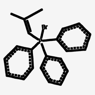 CC(C)=CP(Br)(c1ccccc1)(c1ccccc1)c1ccccc1